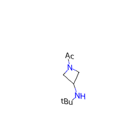 CC(=O)N1CC(NC(C)(C)C)C1